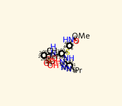 COC(=O)Nc1ccc(Sc2ccc(C(=O)NC(C)(COP(=O)(O)O)c3ccccc3)cc2Nc2ncnc3nc(C(C)C)ccc23)cc1